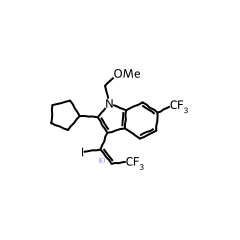 COCn1c(C2CCCC2)c(/C(I)=C\C(F)(F)F)c2ccc(C(F)(F)F)cc21